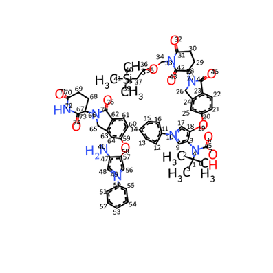 CC(C)(C)N(C(=O)O)c1cn(-c2ccccc2)cc1Oc1ccc2c(c1)CN([C@H]1CCC(=O)N(COCC[Si](C)(C)C)C1=O)C2=O.Nc1cn(-c2ccccc2)cc1Oc1ccc2c(c1)CN(C1CCC(=O)NC1=O)C2=O